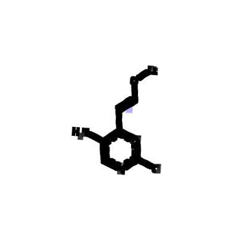 CCO/C=C/c1nc(Cl)ncc1N